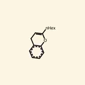 [CH2]CCCCCC1=CCc2ccccc2O1